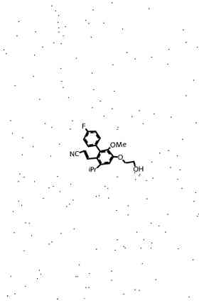 COc1c(OCCO)cc(C(C)C)c(C=CC#N)c1-c1ccc(F)cc1